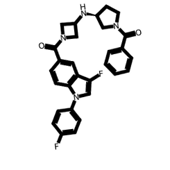 O=C(c1ccc2c(c1)c(F)cn2-c1ccc(F)cc1)N1CC(N[C@H]2CCN(C(=O)c3ccccc3)C2)C1